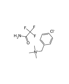 C[N+](C)(C)Cc1ccccc1.NC(=O)C(F)(F)F.[Cl-]